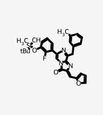 Cc1cccc(CC2=NC(c3cccc(O[Si](C)(C)C(C)(C)C)c3F)=CN3C(=O)/C(=C/c4ccco4)N=C23)c1